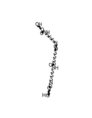 O=C(NCSCSCSC/N=C\OOCSCSCSCOC(=O)NCSCSCSC/N=C/OOCCCO)OCCCO